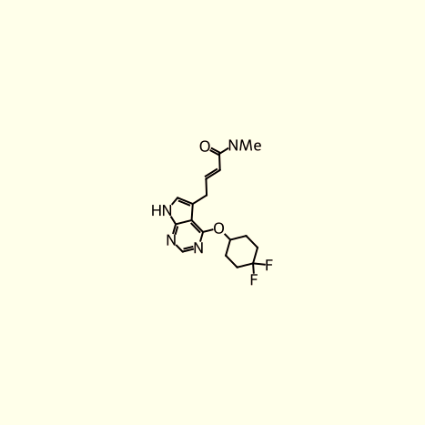 CNC(=O)/C=C/Cc1c[nH]c2ncnc(OC3CCC(F)(F)CC3)c12